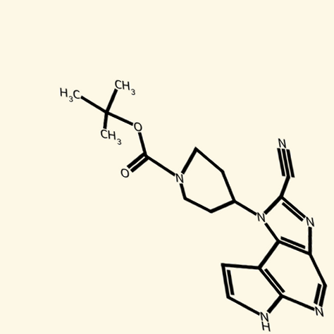 CC(C)(C)OC(=O)N1CCC(n2c(C#N)nc3cnc4[nH]ccc4c32)CC1